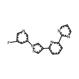 Fc1cncc(-n2cc(-c3cccc(-c4ncccn4)n3)cn2)c1